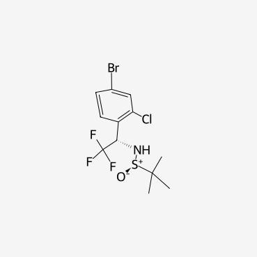 CC(C)(C)[S@@+]([O-])N[C@@H](c1ccc(Br)cc1Cl)C(F)(F)F